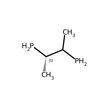 CC(P)[C@H](C)P